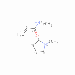 C=CC(=O)NC.CN1CCCC1